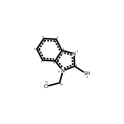 Sc1nc2ccccc2n1CCl